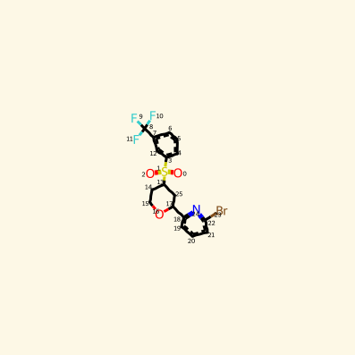 O=S(=O)(c1cccc(C(F)(F)F)c1)C1CCOC(c2cccc(Br)n2)C1